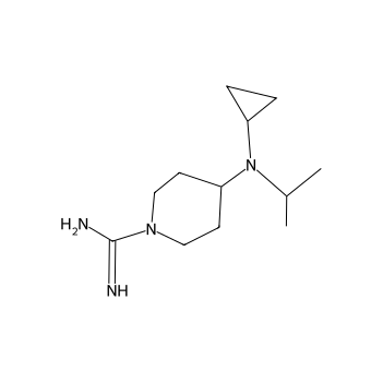 CC(C)N(C1CC1)C1CCN(C(=N)N)CC1